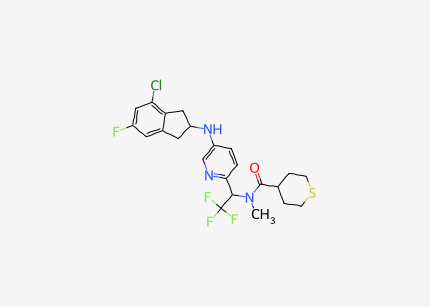 CN(C(=O)C1CCSCC1)C(c1ccc(NC2Cc3cc(F)cc(Cl)c3C2)cn1)C(F)(F)F